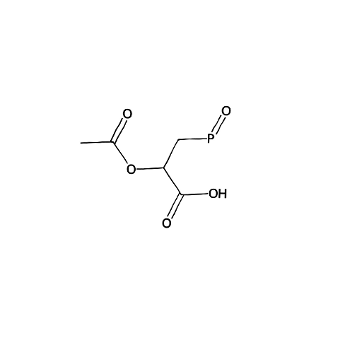 CC(=O)OC(CP=O)C(=O)O